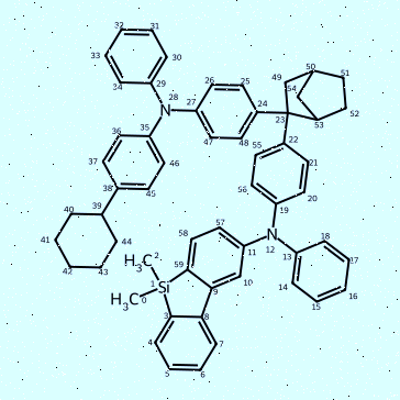 C[Si]1(C)c2ccccc2-c2cc(N(c3ccccc3)c3ccc(C4(c5ccc(N(c6ccccc6)c6ccc(C7CCCCC7)cc6)cc5)CC5CCC4C5)cc3)ccc21